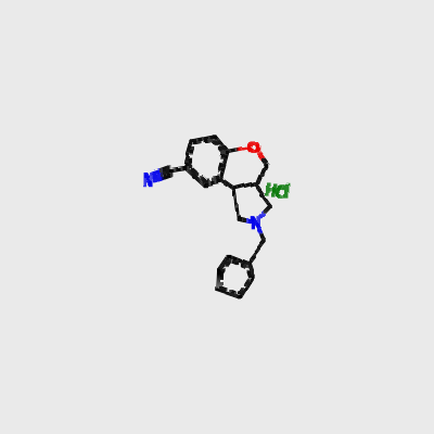 Cl.N#Cc1ccc2c(c1)C1CN(Cc3ccccc3)CC1CO2